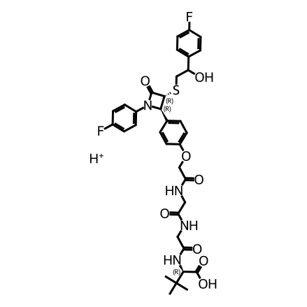 CC(C)(C)[C@@H](NC(=O)CNC(=O)CNC(=O)COc1ccc([C@@H]2[C@@H](SCC(O)c3ccc(F)cc3)C(=O)N2c2ccc(F)cc2)cc1)C(=O)O.[H+]